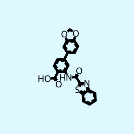 O=C(Nc1cc(-c2ccc3c(c2)OCO3)ccc1C(=O)O)c1nc2ccccc2s1